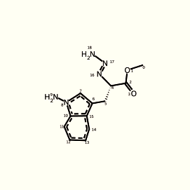 COC(=O)[C@H](Cc1cn(N)c2ccccc12)N=NN